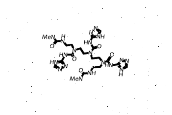 CNC(=O)NCCN(CCN(CCN(CCNC(=O)NC)C(=O)Nc1nnc[nH]1)C(=O)Nc1nnc[nH]1)C(=O)Nc1nnc[nH]1